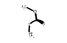 FC(F)(F)OC(=S)SC(F)(F)F